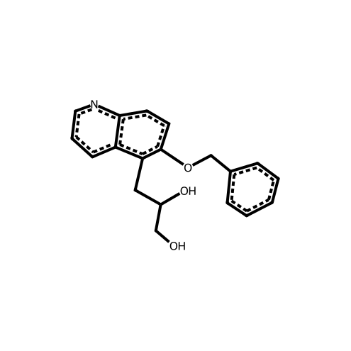 OCC(O)Cc1c(OCc2ccccc2)ccc2ncccc12